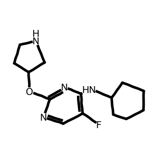 Fc1cnc(OC2CCNC2)nc1NC1CCCCC1